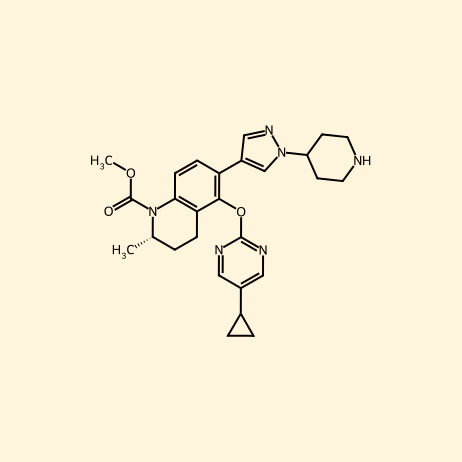 COC(=O)N1c2ccc(-c3cnn(C4CCNCC4)c3)c(Oc3ncc(C4CC4)cn3)c2CC[C@@H]1C